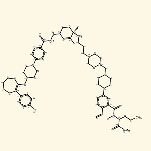 C=Cc1ccc(N2CCC(CN3CCN(CCCN[C@@]4(C)CCC(SNC(=O)c5ccc(N6CCN(CC7=C(c8ccc(Cl)cc8)CCCCC7)CC6)cc5)C=C4C)CC3)CC2)cc1C(=C)N(C)C(CCC=O)C(=C)NC